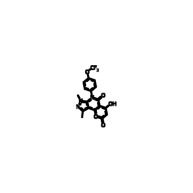 Cc1nn(C)c2c1c1oc(=O)cc(O)c1c(=O)n2-c1ccc(OC(F)(F)F)cc1